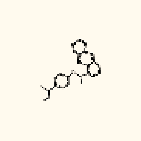 CCC(C)c1ccc(OC(C)c2cccc3cc4ccccc4cc23)cc1